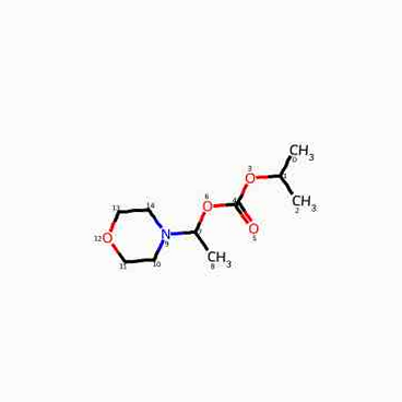 CC(C)OC(=O)OC(C)N1CCOCC1